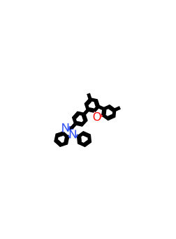 Cc1ccc2oc3c(-c4ccc(-c5nc6ccccc6n5-c5ccccc5)cc4)cc(C)cc3c2c1